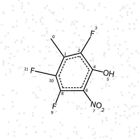 Cc1c(F)c(O)c([N+](=O)[O-])c(F)c1F